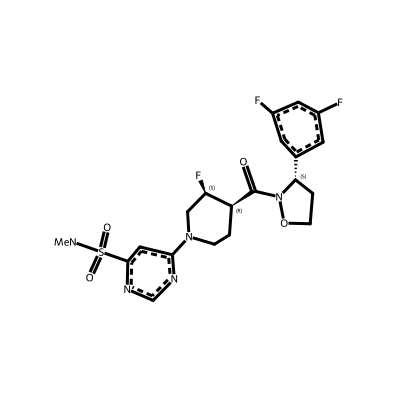 CNS(=O)(=O)c1cc(N2CC[C@H](C(=O)N3OCC[C@H]3c3cc(F)cc(F)c3)[C@H](F)C2)ncn1